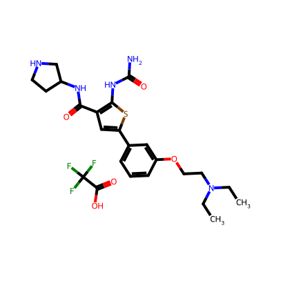 CCN(CC)CCOc1cccc(-c2cc(C(=O)NC3CCNC3)c(NC(N)=O)s2)c1.O=C(O)C(F)(F)F